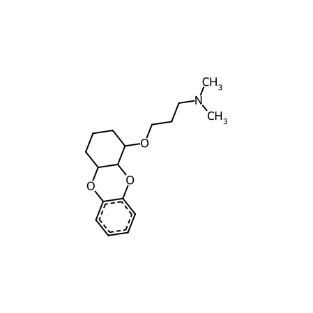 CN(C)CCCOC1CCCC2Oc3ccccc3OC12